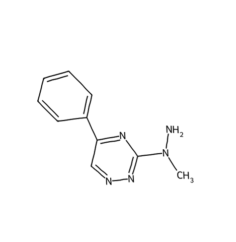 CN(N)c1nncc(-c2ccccc2)n1